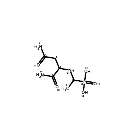 CC(NC(CC(N)=O)C(N)=O)P(=O)(O)O